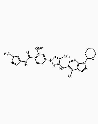 COc1cc(-n2cc(C)c(Nc3ccc4c(cnn4C4CCCCO4)c3Cl)n2)ccc1C(=O)Nc1cnn(C)c1